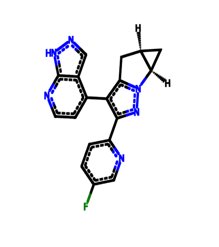 Fc1ccc(-c2nn3c(c2-c2ccnc4[nH]ncc24)C[C@H]2C[C@H]23)nc1